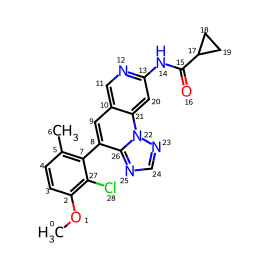 COc1ccc(C)c(-c2cc3cnc(NC(=O)C4CC4)cc3n3ncnc23)c1Cl